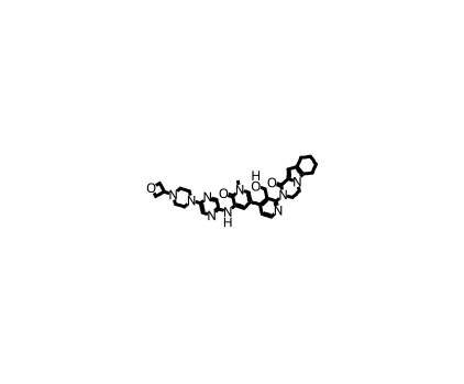 Cn1cc(-c2ccnc(N3CCn4c(cc5c4CCCC5)C3=O)c2CO)cc(Nc2cnc(N3CCN(C4COC4)CC3)cn2)c1=O